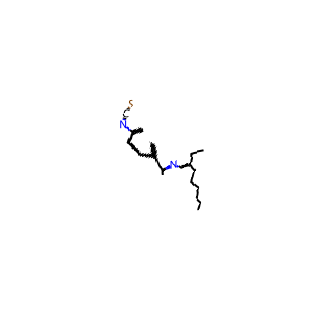 C=C(/C=C\C(=C)/C(C)=N/C=C(\CC)CCCCCC)N=C=S